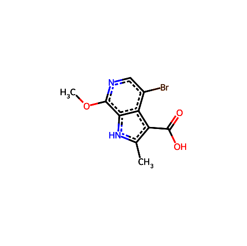 COc1ncc(Br)c2c(C(=O)O)c(C)[nH]c12